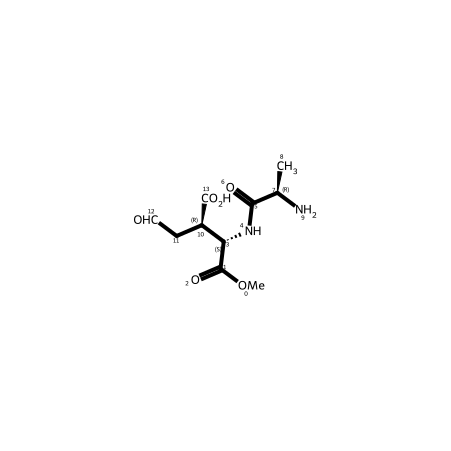 COC(=O)[C@@H](NC(=O)[C@@H](C)N)[C@@H](CC=O)C(=O)O